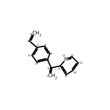 C=Cc1ccc(C(=C)c2ccccn2)cc1